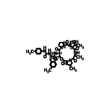 Cc1ccc(NC(=O)N[C@@H](Cc2cccc(C)c2)C(=O)N[C@@H]2C(=O)N3CCC[C@H]3C(=O)N(C)[C@@H]([C@H](C)O)C(=O)N[C@@H](C)C(=O)N3C[C@H](C)C[C@H]3C(=O)O[C@H]2C)cc1